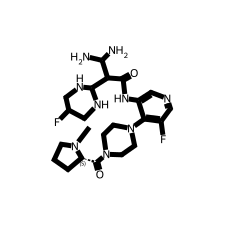 CN1CCC[C@H]1C(=O)N1CCN(c2c(F)cncc2NC(=O)C(C(N)N)C2NCC(F)CN2)CC1